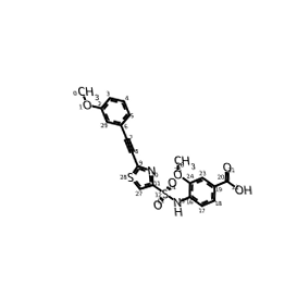 COc1cccc(C#Cc2nc(S(=O)(=O)Nc3ccc(C(=O)O)cc3OC)cs2)c1